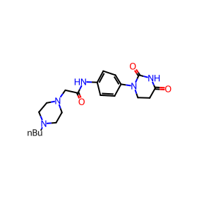 CCCCN1CCN(CC(=O)Nc2ccc(N3CCC(=O)NC3=O)cc2)CC1